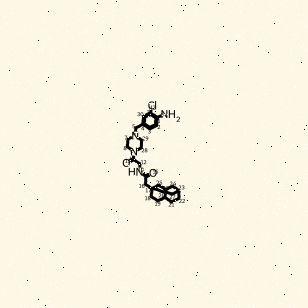 Nc1ccc(CN2CCN(C(=O)CNC(=O)CC34CCC5CCC(CC5C3)C4)CC2)cc1Cl